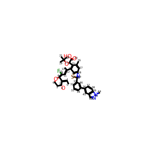 C\C=C1/C(=O)CCO/C1=C(F)/C=C(\C)c1c(C(OC(C)(C)C)C(=O)O)c(C)cc2nc(-c3cccc(-c4ccc5c(cnn5C)c4)c3)sc12